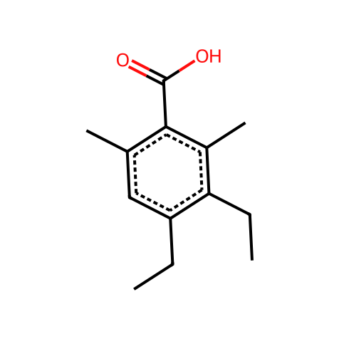 CCc1cc(C)c(C(=O)O)c(C)c1CC